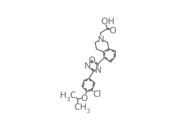 CC(C)Oc1ccc(-c2noc(-c3cccc4c3CCN(CC(=O)O)C4)n2)cc1Cl